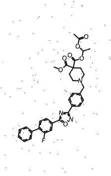 COC(=O)C1(C(=O)OC(C)OC(C)=O)CCN(Cc2ccc(-c3noc(-c4ccc(-c5ccccc5)c(F)c4)n3)cc2)CC1